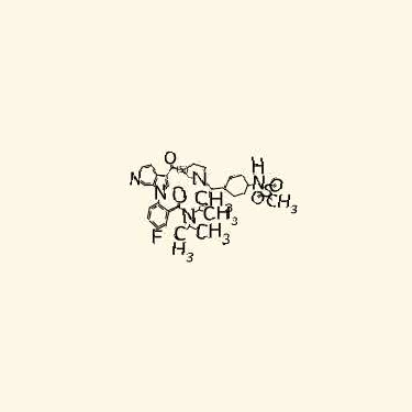 CC(C)N(C(=O)c1cc(F)ccc1-n1cc(C(=O)[C@H]2CCN(CC3CCC(NS(C)(=O)=O)CC3)C2)c2ccncc21)C(C)C